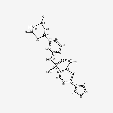 COc1cc(-c2cccs2)ccc1S(=O)(=O)Nc1cccc(N2CC(C)NC(C)C2)c1